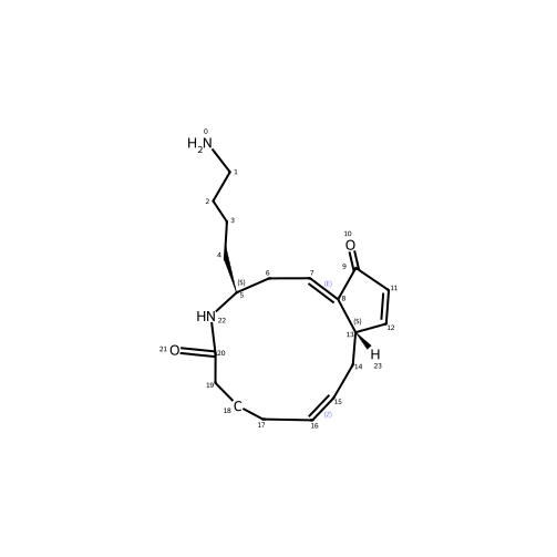 NCCCC[C@H]1C/C=C2/C(=O)C=C[C@@H]2C/C=C\CCCC(=O)N1